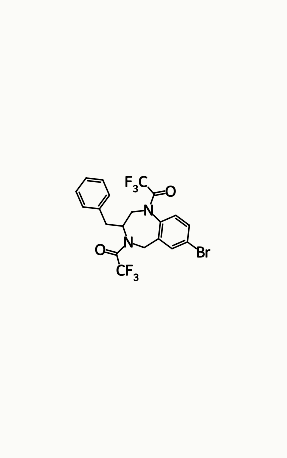 O=C(N1CC(Cc2ccccc2)N(C(=O)C(F)(F)F)Cc2cc(Br)ccc21)C(F)(F)F